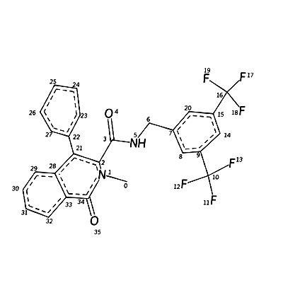 Cn1c(C(=O)NCc2cc(C(F)(F)F)cc(C(F)(F)F)c2)c(-c2ccccc2)c2ccccc2c1=O